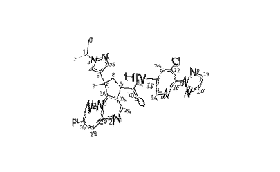 CC(C)n1cc(C2(C)CC(C(=O)Nc3cnc(-n4nccn4)c(Cl)c3)c3cnc4cc(F)nn4c32)cn1